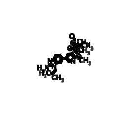 COc1ncc(-c2ccc3nc(N)n(CC(C)C)c3c2)cc1S(=O)(=O)N(OC=O)C(C)(C)C